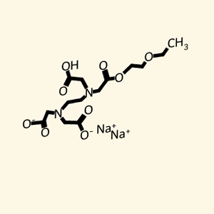 CCOCCOC(=O)CN(CCN(CC(=O)[O-])CC(=O)[O-])CC(=O)O.[Na+].[Na+]